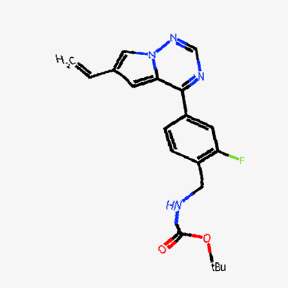 C=Cc1cc2c(-c3ccc(CNC(=O)OC(C)(C)C)c(F)c3)ncnn2c1